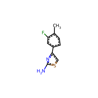 Cc1ccc(-c2csc(N)n2)cc1F